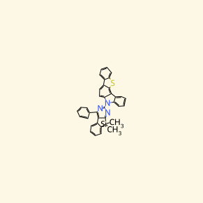 C[Si]1(C)c2ccccc2-c2c(-c3ccccc3)nc(-n3c4ccccc4c4c5sc6ccccc6c5ccc43)nc21